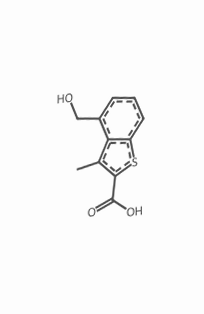 Cc1c(C(=O)O)sc2cccc(CO)c12